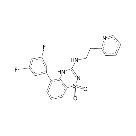 O=S1(=O)N=C(NCCc2ccccn2)Nc2c(-c3cc(F)cc(F)c3)cccc21